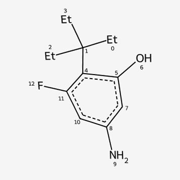 CCC(CC)(CC)c1c(O)cc(N)cc1F